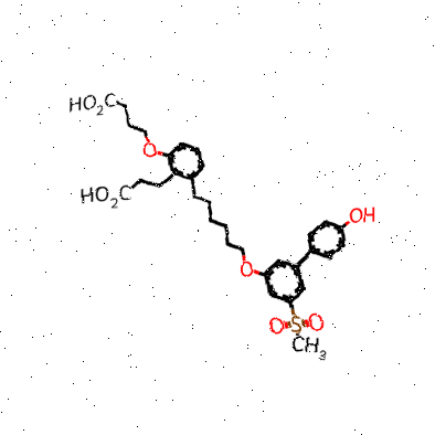 CS(=O)(=O)c1cc(OCCCCCCc2cccc(OCCCC(=O)O)c2CCC(=O)O)cc(-c2ccc(O)cc2)c1